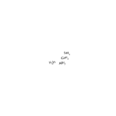 [AlH3].[GaH3].[InH3].[SnH4]